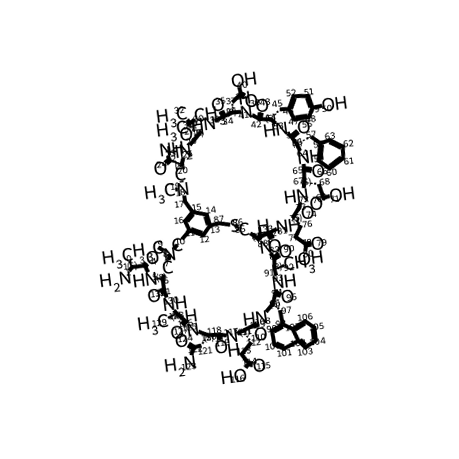 C[C@H](N)C(=O)N[C@H]1CN(C)Cc2cc3cc(c2)CN(C)C[C@@H](C(N)=O)NC(=O)[C@H](C(C)(C)C)NC(=O)[C@H](CC(=O)O)NC(=O)[C@H](Cc2ccc(O)cc2)NC(=O)[C@H](Cc2ccccc2)NC(=O)[C@H](CC(=O)O)NC(=O)[C@H](CCC(=O)O)NC(=O)[C@@H](CSC3)NC(=O)[C@@H](C)NC(=O)[C@H](Cc2cccc3ccccc23)NC(=O)[C@H](CCC(=O)O)NC(=O)[C@H](CC(N)=O)NC(=O)[C@@H](C)NC1=O